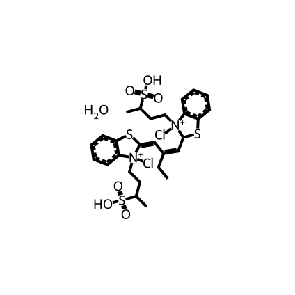 CCC(=CC1Sc2ccccc2[N+]1(Cl)CCC(C)S(=O)(=O)O)C=C1Sc2ccccc2[N+]1(Cl)CCC(C)S(=O)(=O)O.O